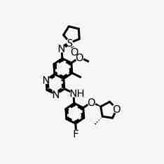 COc1c(N=S2(=O)CCCC2)cc2ncnc(Nc3ccc(F)cc3O[C@H]3COC[C@@H]3C)c2c1C